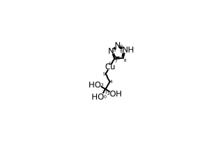 OC(O)(O)C[CH2][Cu][c]1c[nH]nn1